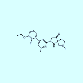 CCOc1cccc(-c2cc(C)nc([C@H]3CC(=O)[C@@]4(CCN(C)C4)N3)c2)c1F